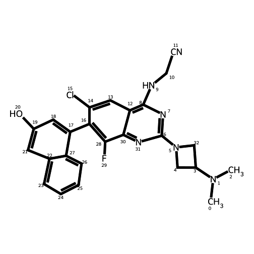 CN(C)C1CN(c2nc(NCC#N)c3cc(Cl)c(-c4cc(O)cc5ccccc45)c(F)c3n2)C1